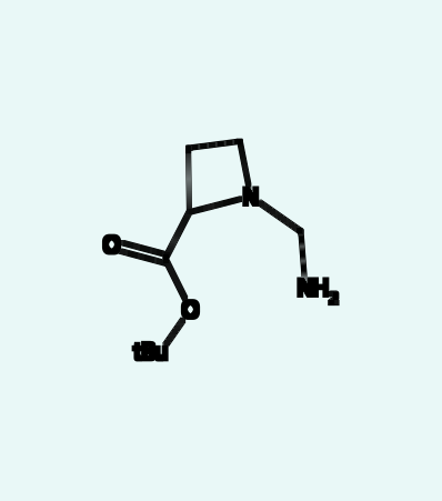 CC(C)(C)OC(=O)C1CCN1CN